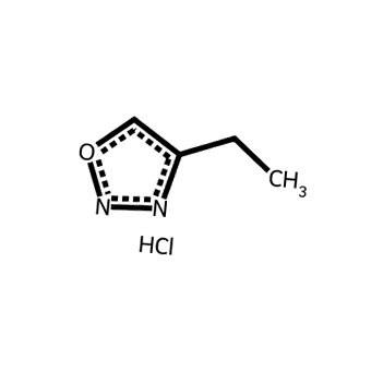 CCc1conn1.Cl